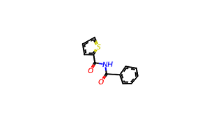 O=C(NC(=O)c1cccs1)c1ccccc1